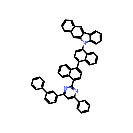 c1ccc(-c2cccc(-c3cc(-c4ccccc4)nc(-c4ccc(-c5ccc(-n6c7ccccc7c7cc8ccccc8cc76)c6ccccc56)c5ccccc45)n3)c2)cc1